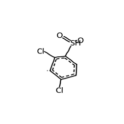 O=[SH](=O)c1ccc(Cl)[c]c1Cl